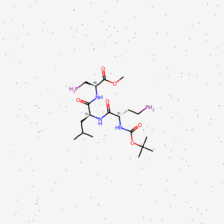 COC(=O)[C@H](CP)NC(=O)[C@H](CC(C)C)NC(=O)[C@H](CCP)NC(=O)OC(C)(C)C